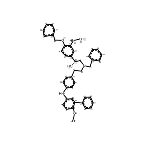 CCOc1ccc(Nc2ccc(CCN(Cc3ccccc3)C[C@H](O)c3ccc(OCc4ccccc4)c(NC=O)c3)cc2)cc1-c1ccccc1